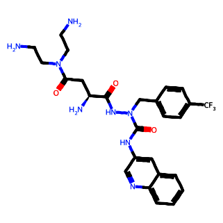 NCCN(CCN)C(=O)C[C@H](N)C(=O)NN(Cc1ccc(C(F)(F)F)cc1)C(=O)Nc1cnc2ccccc2c1